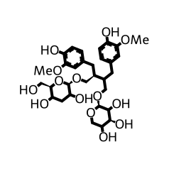 COc1cc(CC(CO[C@@H]2OCC(O)[C@H](O)C2O)[C@@H](CO[C@@H]2O[C@H](CO)C(O)CC2O)Cc2ccc(O)c(OC)c2)ccc1O